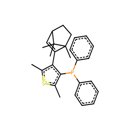 Cc1sc(C)c(P(c2ccccc2)c2ccccc2)c1C1=CC2CCC1(C)C2(C)C